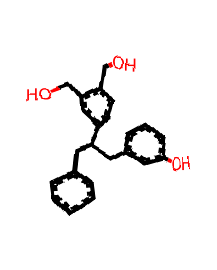 OCc1ccc([C](Cc2ccccc2)Cc2cccc(O)c2)cc1CO